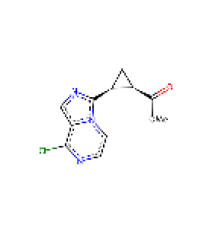 COC(=O)[C@@H]1C[C@@H]1c1ncc2c(Cl)nccn12